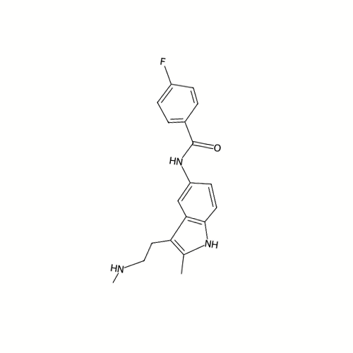 CNCCc1c(C)[nH]c2ccc(NC(=O)c3ccc(F)cc3)cc12